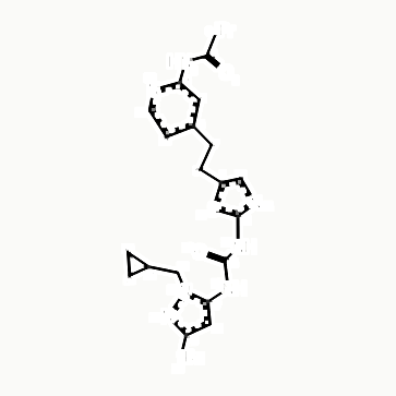 CC(C)C(=O)Nc1cc(CCc2cnc(NC(=O)Nc3cc(C(C)(C)C)nn3CC3CC3)s2)ccn1